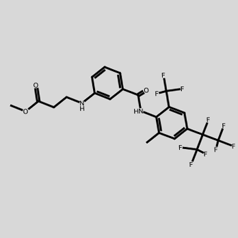 COC(=O)CCNc1cccc(C(=O)Nc2c(C)cc(C(F)(C(F)(F)F)C(F)(F)F)cc2C(F)(F)F)c1